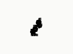 CC(=O)Nc1cnc2c(c1)CCC(Nc1ncnc3cc(Cl)ccc13)C2